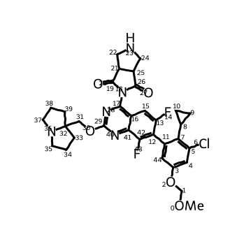 COCOc1cc(Cl)c(C2CC2)c(-c2c(F)cc3c(N4C(=O)C5CNCC5C4=O)nc(OCC45CCCN4CCC5)nc3c2F)c1